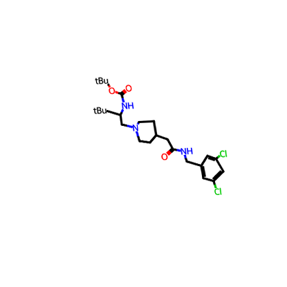 CC(C)(C)OC(=O)NC(CN1CCC(CC(=O)NCc2cc(Cl)cc(Cl)c2)CC1)C(C)(C)C